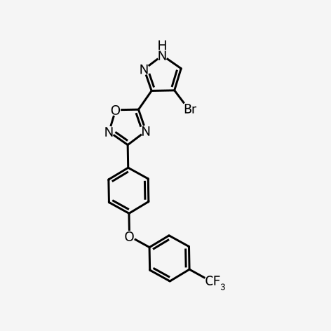 FC(F)(F)c1ccc(Oc2ccc(-c3noc(-c4n[nH]cc4Br)n3)cc2)cc1